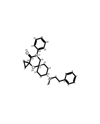 CN(CCc1ccccc1)[C@H]1CC[C@]2(CC1)CN(c1ccccc1)C(=O)C1(CC1)O2